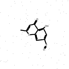 Cc1cc(=O)c2c(O)cc(P=O)cc2o1